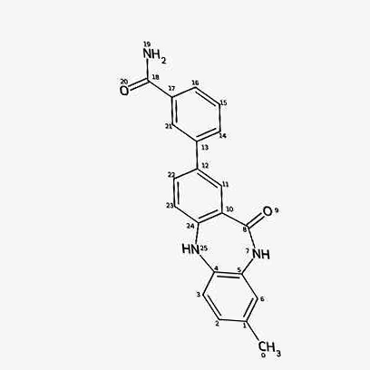 Cc1ccc2c(c1)NC(=O)c1cc(-c3cccc(C(N)=O)c3)ccc1N2